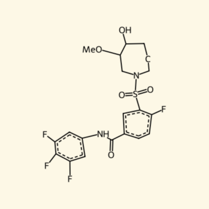 COC1CN(S(=O)(=O)c2cc(C(=O)Nc3cc(F)c(F)c(F)c3)ccc2F)CCCC1O